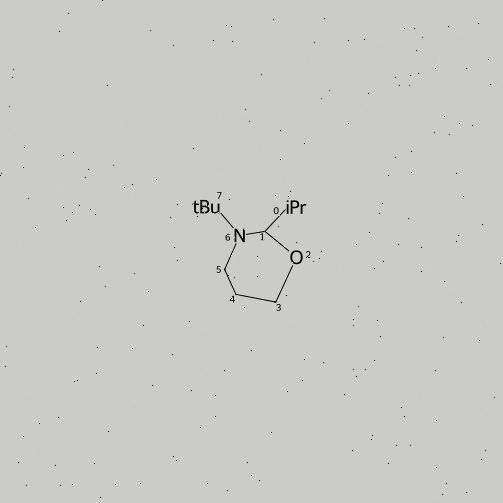 CC(C)C1OCCCN1C(C)(C)C